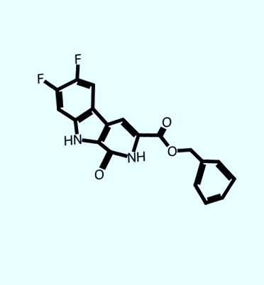 O=C(OCc1ccccc1)c1cc2c([nH]c3cc(F)c(F)cc32)c(=O)[nH]1